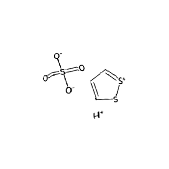 O=S(=O)([O-])[O-].[H+].c1cs[s+]c1